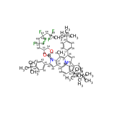 C/C(=C1/N=C(c2ccc(C(C)(C)C)cc2)C=C1c1ccc(C(C)(C)C)cc1)c1c(-c2ccc(C(C)(C)C)cc2)cc(-c2ccc(C(C)(C)C)cc2)n1B1OCC(CC(F)(F)CC(F)(F)CC(C)(F)F)O1